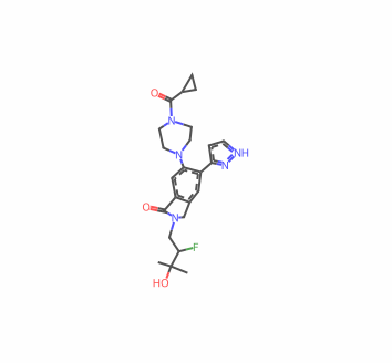 CC(C)(O)C(F)CN1Cc2cc(-c3cc[nH]n3)c(N3CCN(C(=O)C4CC4)CC3)cc2C1=O